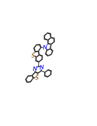 c1ccc(-c2nc(-c3ccc4c(c3)sc3cccc(-n5c6ccccc6c6ccc7ccccc7c65)c34)nc3c2sc2ccccc23)cc1